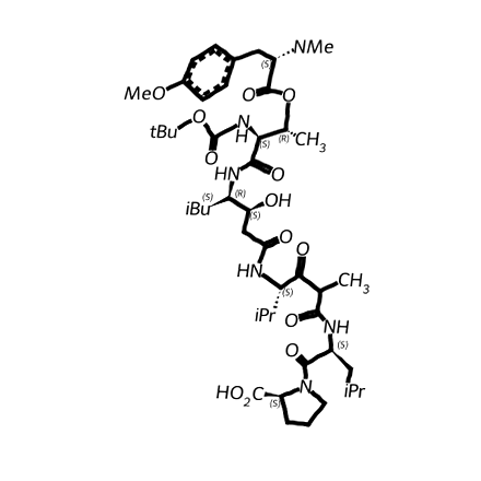 CC[C@H](C)[C@@H](NC(=O)[C@@H](NC(=O)OC(C)(C)C)[C@@H](C)OC(=O)[C@H](Cc1ccc(OC)cc1)NC)[C@@H](O)CC(=O)N[C@H](C(=O)C(C)C(=O)N[C@@H](CC(C)C)C(=O)N1CCC[C@H]1C(=O)O)C(C)C